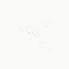 COC(=O)c1ccc(Cn2nc(OCc3ccccc3)c3ccc([N+](=O)[O-])cc32)c(OC)c1